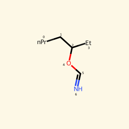 CCCCC(CC)OC=N